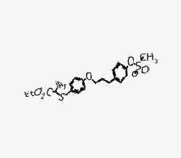 CCOC(=O)C(Sc1ccc(OCCCc2ccc(OS(C)(=O)=O)cc2)cc1)C(C)C